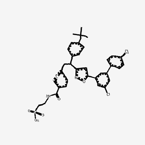 CC(C)(C)c1ccc(C(Cc2ccc(C(=O)NCCS(=O)(=O)O)cc2)c2cc(-c3cc(Cl)cc(-c4ccc(Cl)cc4)c3)on2)cc1